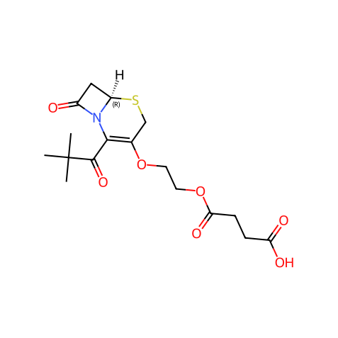 CC(C)(C)C(=O)C1=C(OCCOC(=O)CCC(=O)O)CS[C@@H]2CC(=O)N12